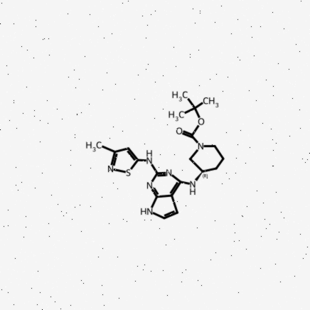 Cc1cc(Nc2nc(N[C@@H]3CCCN(C(=O)OC(C)(C)C)C3)c3cc[nH]c3n2)sn1